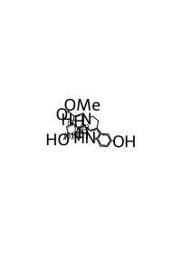 COC(=O)C1=CN2CCc3c([nH]c4ccc(O)cc34)[C@@H]2[C@@H]2[C@@H](C)[C@@H](O)C[C@H]12